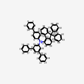 c1ccc(-c2ccc(N(c3cc(-c4ccccc4)cc(-c4ccccc4)c3)c3cccc4c3-c3ccccc3C4(c3ccccc3)c3ccccc3)cc2)cc1